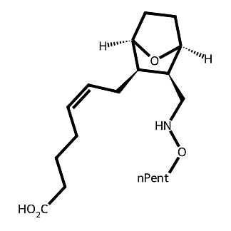 CCCCCONC[C@H]1[C@@H](C/C=C\CCCC(=O)O)[C@H]2CC[C@@H]1O2